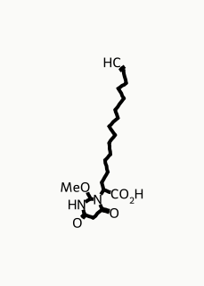 C#CCCCCCCCCCCCCC(C(=O)O)N1C(=O)CC(=O)NC1OC